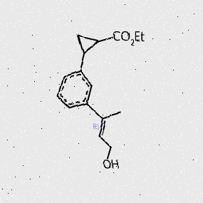 CCOC(=O)C1CC1c1cccc(/C(C)=C/CO)c1